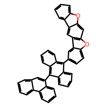 c1ccc2c(c1)cc(-c1c3ccccc3c(-c3ccc4oc5cc6oc7ccccc7c6cc5c4c3)c3ccccc13)c1ccccc12